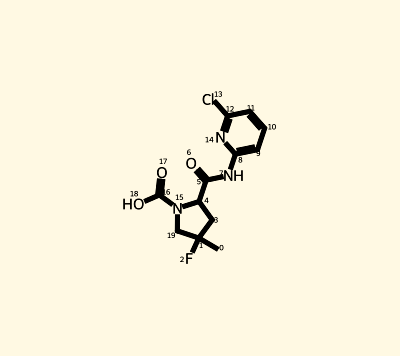 CC1(F)CC(C(=O)Nc2cccc(Cl)n2)N(C(=O)O)C1